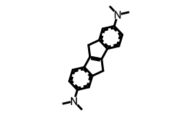 CN(C)c1ccc2c(c1)CC1=C2Cc2cc(N(C)C)ccc21